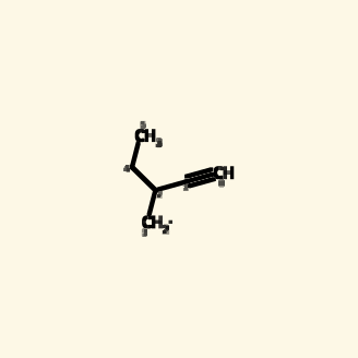 C#CC([CH2])CC